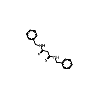 S=C(CC(=S)NCc1ccccc1)NCc1ccccc1